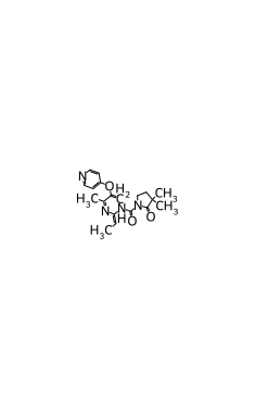 C=C(Oc1ccncc1)/C(C)=N\C(=C/C)NC(=O)N1CCC(C)(C)C1=O